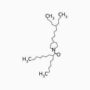 CCCCCCCC(CCCCCC)C(=O)N1CCC(CCCCC(CCCC)CCCC)CC1